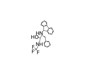 O[C@H](CNCC(F)(F)F)[C@H](Cc1ccccc1)NC1c2ccccc2-c2ccccc21